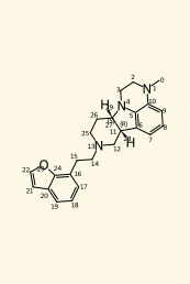 CN1CCN2c3c(cccc31)[C@@H]1CN(CCc3cccc4ccoc34)CC[C@@H]12